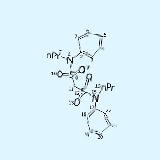 CCCN(c1ccccc1)S(=O)(=O)CS(=O)(=O)N(CCC)c1ccccc1